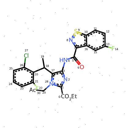 CCOC(=O)c1nc(NC(=O)c2nsc3ccc(F)cc23)c(C(C)c2c(F)cccc2Cl)n1CC(C)=O